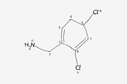 NCC1=CCC(Cl)C=C1Cl